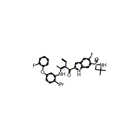 C=C/C(C(=O)c1cc2cc(F)c([SH]3(=O)CC(C)(C)N3)cc2[nH]1)=C(\C)Nc1cc(Oc2ccccc2F)ccc1C(C)C